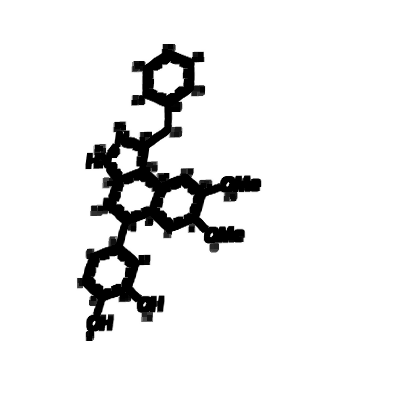 COc1cc2c(-c3ccc(O)c(O)c3)nc3[nH]nc(Cc4ccccc4)c3c2cc1OC